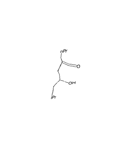 CCCC(=O)CC(O)CC(C)C